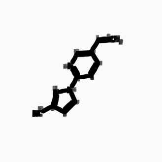 C=Cc1ccc(-n2ccc(C#N)n2)nc1